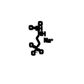 O=[SH](=O)NCCS(=O)(=O)[O-].[Na+]